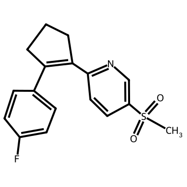 CS(=O)(=O)c1ccc(C2=C(c3ccc(F)cc3)CCC2)nc1